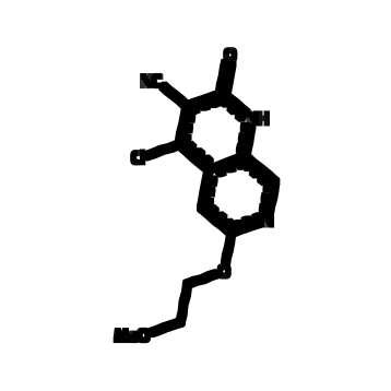 COCCOc1cc2c(Cl)c(C#N)c(=O)[nH]c2cn1